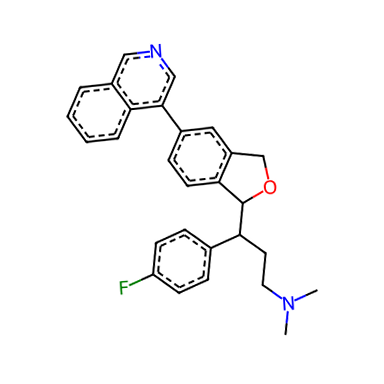 CN(C)CCC(c1ccc(F)cc1)C1OCc2cc(-c3cncc4ccccc34)ccc21